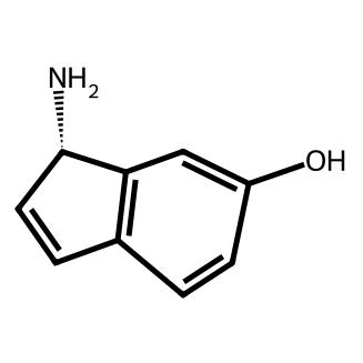 N[C@H]1C=Cc2ccc(O)cc21